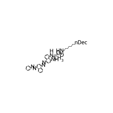 CCCCCCCCCCCCCCCCCNC(=O)OCCC1(C)Nc2cccc3c(/N=N/c4ccc(/N=N/c5ccccc5)c5ccccc45)ccc(c23)N1